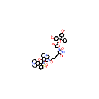 COc1ccc(C(OC[C@H]2O[C@@H](n3cc(C#CCCC(=O)NCCN4C5(c6ccccc6S4(=O)=O)c4cc6c7c(c4Oc4c5cc5c8c4CCCN8CCC5)CCCN7CCC6)c(=O)[nH]c3=O)CC2O)(c2ccccc2)c2ccc(OC)cc2)cc1